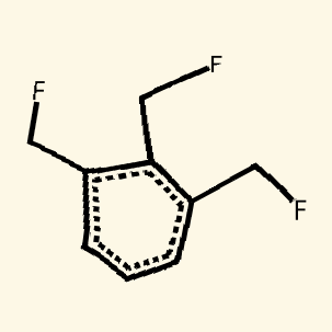 FCc1cccc(CF)c1CF